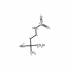 CCCCC(C)(CCN[SH](=O)=O)C(=O)O